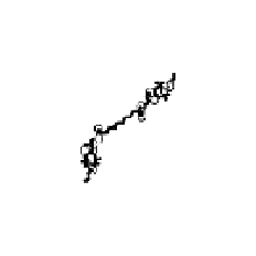 C=CCON1C(C)(C)CC2(CC1(C)C)OCC(COC(=O)CCCCCCCCC(=O)OCC1COC3(CC(C)(C)N(OCC=C)C(C)(C)C3)O1)O2